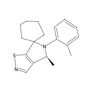 Cc1ccccc1N1[C@@H](C)c2cnsc2C12CCCCC2